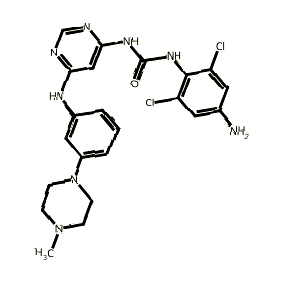 CN1CCN(c2cccc(Nc3cc(NC(=O)Nc4c(Cl)cc(N)cc4Cl)ncn3)c2)CC1